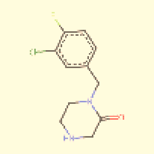 O=C1CNCCN1Cc1ccc(F)c(Cl)c1